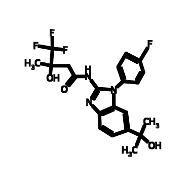 CC(C)(O)c1ccc2nc(NC(=O)CC(C)(O)C(F)(F)F)n(-c3ccc(F)cc3)c2c1